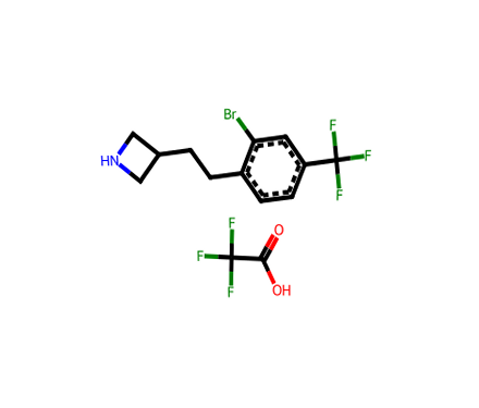 FC(F)(F)c1ccc(CCC2CNC2)c(Br)c1.O=C(O)C(F)(F)F